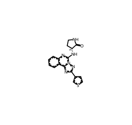 O=C1NCC[C@H]1Nc1nc2ccccc2c2nc(-c3ccsc3)nn12